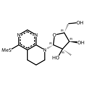 CSc1ncnc2c1CCCN2[C@@H]1O[C@H](CO)[C@@H](O)[C@@]1(C)O